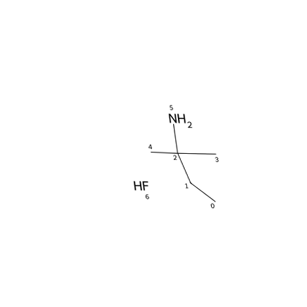 CCC(C)(C)N.F